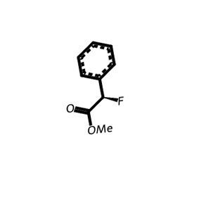 COC(=O)[C@H](F)c1ccccc1